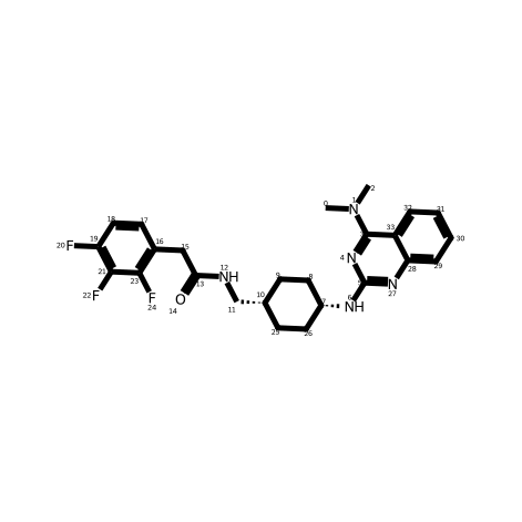 CN(C)c1nc(N[C@H]2CC[C@@H](CNC(=O)Cc3ccc(F)c(F)c3F)CC2)nc2ccccc12